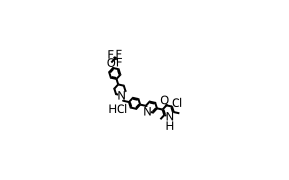 Cc1[nH]c(C)c(-c2ccc(-c3ccc(CN4CCC(c5ccc(OC(F)(F)F)cc5)CC4)cc3)nc2)c(=O)c1Cl.Cl